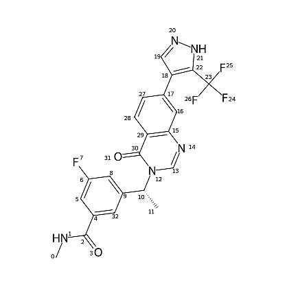 CNC(=O)c1cc(F)cc([C@@H](C)n2cnc3cc(-c4cn[nH]c4C(F)(F)F)ccc3c2=O)c1